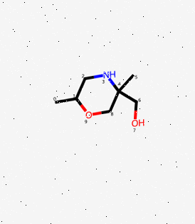 CC1CNC(C)(CO)CO1